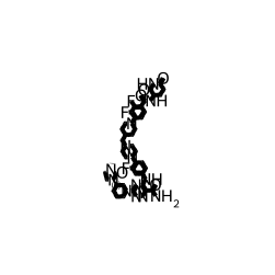 CN1CCN([C@@H]2CCCN(c3nnc(C(N)=O)c(Nc4ccc(N5CCN(CC6CCN(c7ccc(C(=O)NC8CCC(=O)NC8=O)c(F)c7F)CC6)CC5)c(F)c4)n3)C2)C1=O